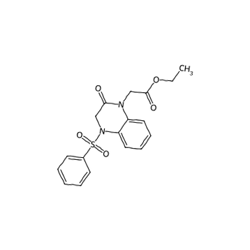 CCOC(=O)CN1C(=O)CN(S(=O)(=O)c2ccccc2)c2ccccc21